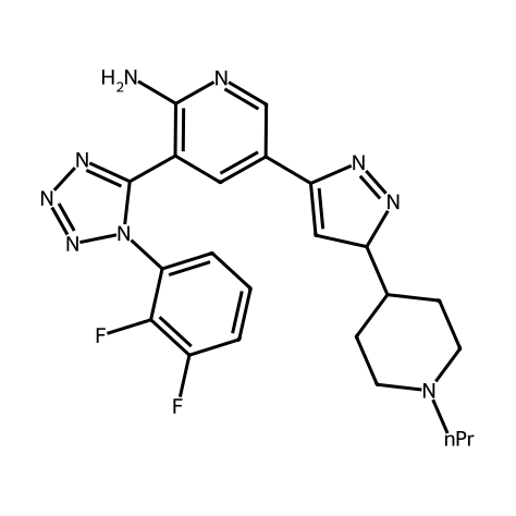 CCCN1CCC(C2C=C(c3cnc(N)c(-c4nnnn4-c4cccc(F)c4F)c3)N=N2)CC1